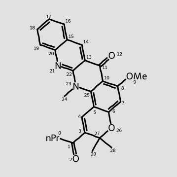 CCCC(=O)C1=Cc2c(cc(OC)c3c(=O)c4cc5ccccc5nc4n(C)c23)OC1(C)C